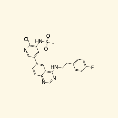 CS(=O)(=O)Nc1cc(-c2ccc3ncnc(NCCc4ccc(F)cc4)c3c2)cnc1Cl